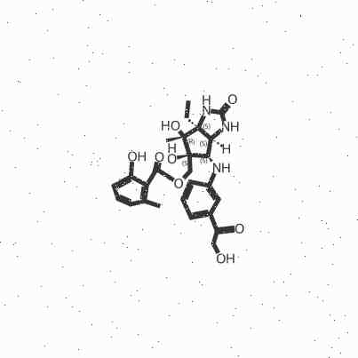 CC[C@]12NC(=O)N[C@H]1[C@H](Nc1cccc(C(=O)CO)c1)[C@](O)(COC(=O)c1c(C)cccc1O)[C@]2(C)O